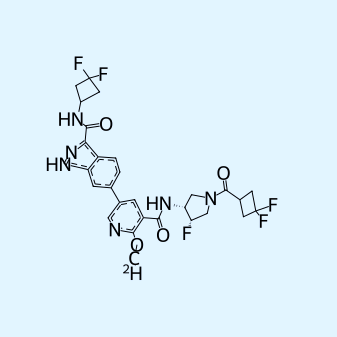 [2H]COc1ncc(-c2ccc3c(C(=O)NC4CC(F)(F)C4)n[nH]c3c2)cc1C(=O)N[C@@H]1CN(C(=O)C2CC(F)(F)C2)C[C@@H]1F